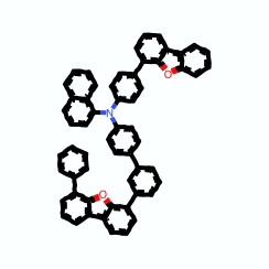 c1ccc(-c2cccc3c2oc2c(-c4cccc(-c5ccc(N(c6ccc(-c7cccc8c7oc7ccccc78)cc6)c6cccc7ccccc67)cc5)c4)cccc23)cc1